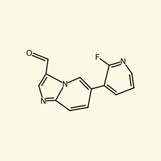 O=Cc1cnc2ccc(-c3cccnc3F)cn12